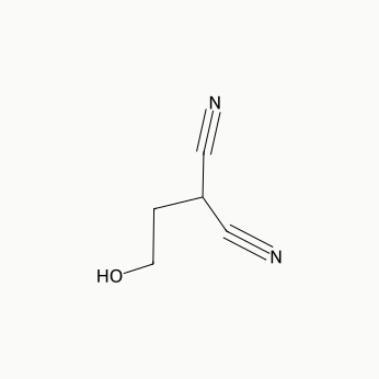 N#CC(C#N)CCO